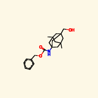 CC12CC3(C)CC(CO)(C1)CC(NC(=O)OCc1ccccc1)(C2)C3